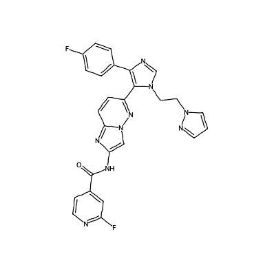 O=C(Nc1cn2nc(-c3c(-c4ccc(F)cc4)ncn3CCn3cccn3)ccc2n1)c1ccnc(F)c1